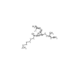 CCCCCCCC(=O)N[C@H](CC(N)=O)C(=O)NCC/C(C)=C/N